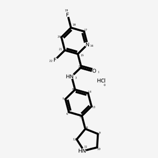 Cl.O=C(Nc1ccc(C2CCNC2)cc1)c1ncc(F)cc1F